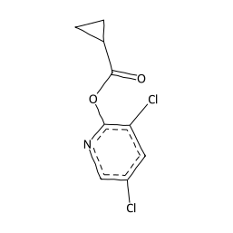 O=C(Oc1ncc(Cl)cc1Cl)C1CC1